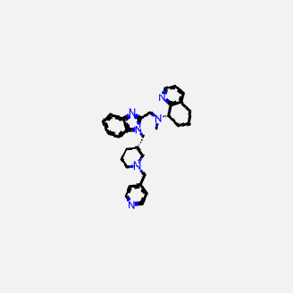 CN(Cc1nc2ccccc2n1C[C@H]1CCCN(Cc2ccncc2)C1)[C@H]1CCCc2cccnc21